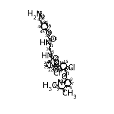 Cc1cc(C)c2cccc(OCc3c(Cl)ccc(S(=O)(=O)N4CCC[C@H]4C(=O)NCCCNC(=O)COc4ccc(C=NN)cc4)c3Cl)c2n1